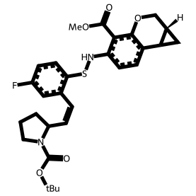 COC(=O)c1c(NSc2ccc(F)cc2/C=C\C2CCCN2C(=O)OC(C)(C)C)ccc2c1OC[C@@H]1CC21